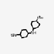 CC(C)(C)C1CCC(NC2CCC(C(C)(C)C)CC2)CC1